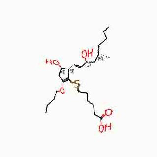 CCCCOC1=C(SCCCCCC(=O)O)[C@@H](C=C[C@@H](O)C[C@@H](C)CCCC)[C@H](O)C1